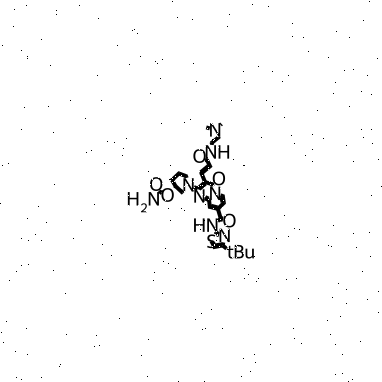 CN(C)CCNC(=O)C=Cc1c(N2CCC[C@@H](OC(N)=O)C2)nc2cc(C(=O)Nc3nc(C(C)(C)C)cs3)ccn2c1=O